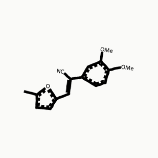 COc1ccc(/C(C#N)=C/c2ccc(C)o2)cc1OC